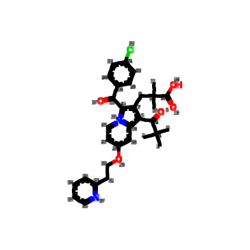 CC(C)(C)C(=O)c1c(CC(C)(C)C(=O)O)c(C(=O)c2ccc(Cl)cc2)n2ccc(OCCc3ccccn3)cc12